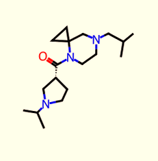 CC(C)CN1CCN(C(=O)[C@@H]2CCN(C(C)C)C2)C2(CC2)C1